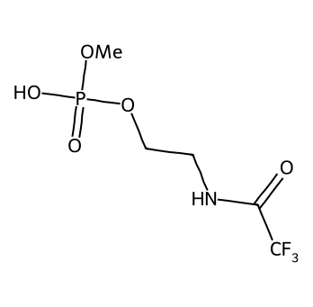 COP(=O)(O)OCCNC(=O)C(F)(F)F